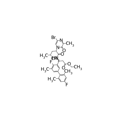 CCOC(=O)CC(NC(=O)C(CC(C)C)n1cc(Br)nc(C)c1=O)c1cc(-c2c(C)cc(F)cc2C)cc(C)c1F